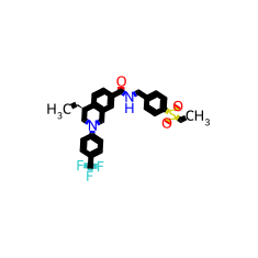 CC[C@H]1CN(c2ccc(C(F)(F)F)cc2)Cc2cc(C(=O)NCc3ccc(S(=O)(=O)CC)cc3)ccc21